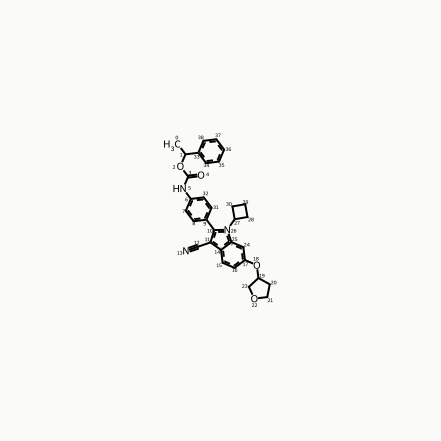 CC(OC(=O)Nc1ccc(-c2c(C#N)c3ccc(OC4CCOC4)cc3n2C2CCC2)cc1)c1ccccc1